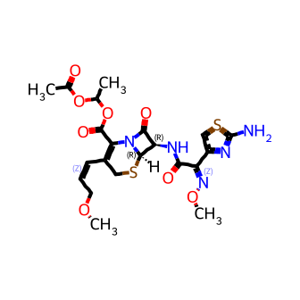 COC/C=C\C1=C(C(=O)OC(C)OC(C)=O)N2C(=O)[C@@H](NC(=O)/C(=N\OC)c3csc(N)n3)[C@H]2SC1